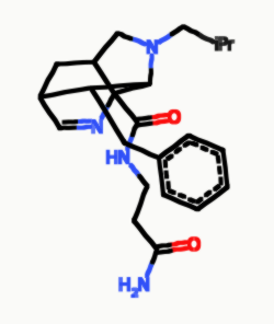 CC(C)CN1CC2CC3C=NC2(C(=O)NCCC(N)=O)C1C3Cc1ccccc1